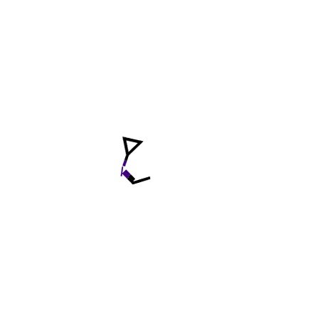 C/C=I\C1CC1